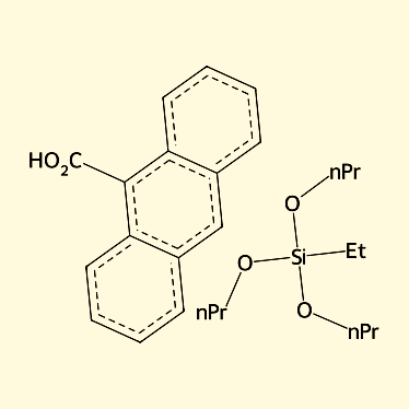 CCCO[Si](CC)(OCCC)OCCC.O=C(O)c1c2ccccc2cc2ccccc12